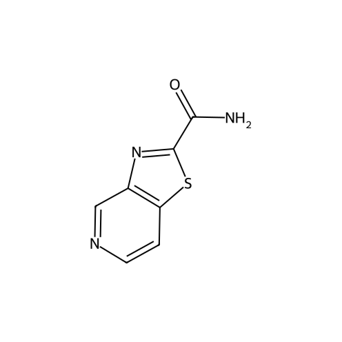 NC(=O)c1nc2cnccc2s1